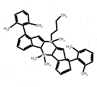 CCCC[Si]1(C)C2=Cc3c(-c4c(C)cccc4C)cccc3[CH]2[Hf]([CH3])([CH3])[CH]2C1=Cc1c(-c3c(C)cccc3C)cccc12